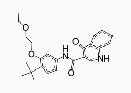 CCOCCOc1cc(NC(=O)c2c[nH]c3ccccc3c2=O)ccc1C(C)(C)C